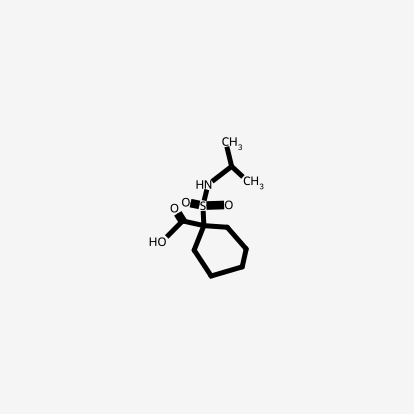 CC(C)NS(=O)(=O)C1(C(=O)O)CCCCC1